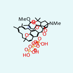 CNC12C=C3C(=O)c4c(OP(=O)(O)OP(=O)(O)OP(=O)(O)O)c5c(c(CC=C(C)C)c4OC34C(C1)C(C)(C)OC4(C/C=C(/C)C(=O)OC)C2=O)OC(C)(CCC=C(C)C)C=C5